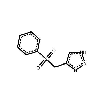 O=S(=O)([CH]c1c[nH]nn1)c1ccccc1